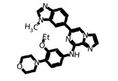 CCOc1cc(Nc2nc(-c3ccc4ncn(C)c4c3)cn3ccnc23)ccc1N1CCOCC1